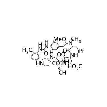 C#CC[C@@H](NC(=O)[C@H](CC(=O)O)NC(=O)[C@H](CC(C)C)N(C)C(Cc1ccc(NC(=O)Nc2ccccc2C)cc1)OC)C(=O)NC1(C(=O)O)CCNCC1